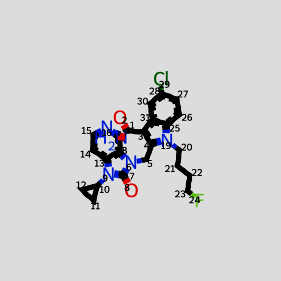 NC(=O)c1c(Cn2c(=O)n(C3CC3)c3ccncc32)n(CCCCF)c2ccc(Cl)cc12